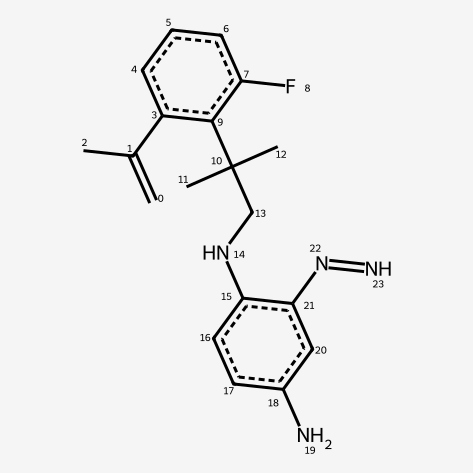 C=C(C)c1cccc(F)c1C(C)(C)CNc1ccc(N)cc1N=N